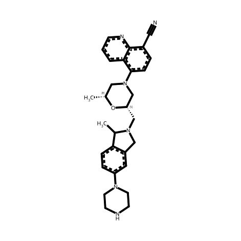 CC1c2ccc(N3CCNCC3)cc2CN1C[C@H]1CN(c2ccc(C#N)c3ncccc23)C[C@@H](C)O1